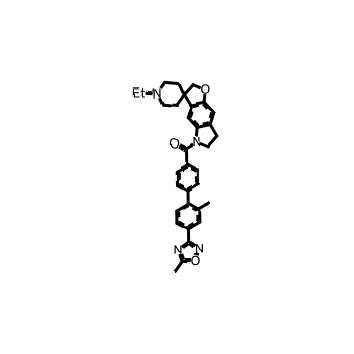 CCN1CCC2(CC1)COc1cc3c(cc12)N(C(=O)c1ccc(-c2ccc(-c4noc(C)n4)cc2C)cc1)CC3